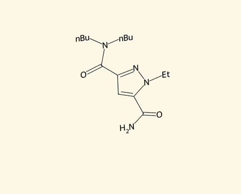 CCCCN(CCCC)C(=O)c1cc(C(N)=O)n(CC)n1